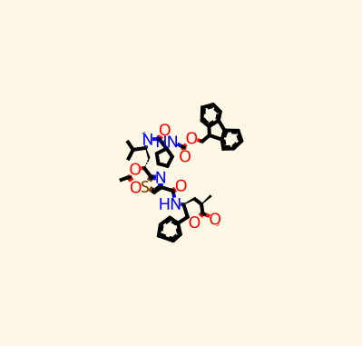 COC(=O)[C@H](C)C[C@@H](Cc1ccccc1)NC(=O)c1csc([C@@H](C[C@@H](C(C)C)N(C)C(=O)C2(NC(=O)OCC3c4ccccc4-c4ccccc43)CCCC2)OC(C)=O)n1